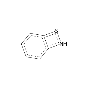 c1ccc2s[nH]c2c1